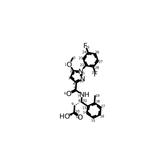 COc1cc(C(=O)N[C@@H](CC(=O)O)c2ccccc2C)nn1-c1cc(F)ccc1F